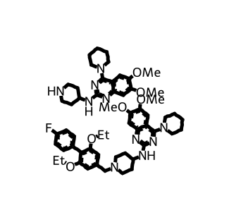 CCOc1cc(CN2CCC(Nc3nc(N4CCCCC4)c4cc(OC)c(OC)cc4n3)CC2)cc(OCC)c1-c1ccc(F)cc1.COc1cc2nc(NC3CCNCC3)nc(N3CCCCC3)c2cc1OC